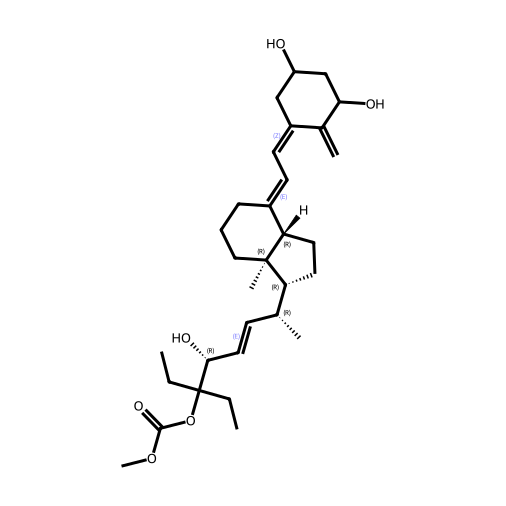 C=C1/C(=C\C=C2/CCC[C@]3(C)[C@@H]([C@H](C)/C=C/[C@@H](O)C(CC)(CC)OC(=O)OC)CC[C@@H]23)CC(O)CC1O